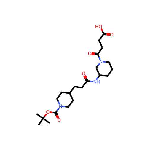 CC(C)(C)OC(=O)N1CCC(CCC(=O)NC2CCCN(C(=O)CCC(=O)O)C2)CC1